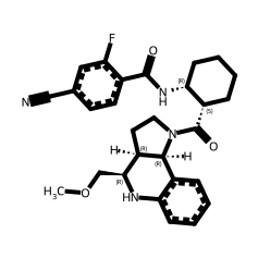 COC[C@@H]1Nc2ccccc2[C@H]2[C@@H]1CCN2C(=O)[C@H]1CCCC[C@H]1NC(=O)c1ccc(C#N)cc1F